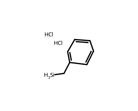 Cl.Cl.[SiH3]Cc1ccccc1